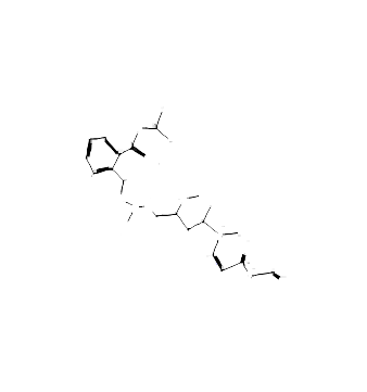 COC(COP(O)OCc1ccccc1C(=O)OC(C)C)CC(C)N(C)/C=C\C(=O)NC=O